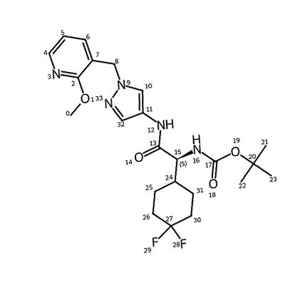 COc1ncccc1Cn1cc(NC(=O)[C@@H](NC(=O)OC(C)(C)C)C2CCC(F)(F)CC2)cn1